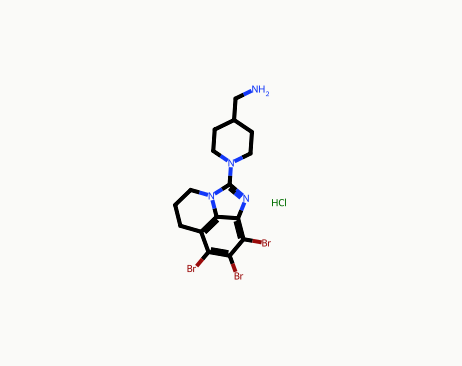 Cl.NCC1CCN(c2nc3c(Br)c(Br)c(Br)c4c3n2CCC4)CC1